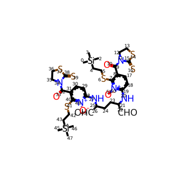 C[Si](C)(C)CCSc1c(C(=O)N2CCSC2=S)ccc(NC(C=O)CCC(C=O)Nc2ccc(C(=O)N3CCSC3=S)c(SCC[Si](C)(C)C)[n+]2[O-])[n+]1[O-]